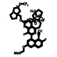 C#Cc1c(F)ccc2cc(OCOC)cc(-c3nc4c5c(nc(OCC67CCCN6C[C@@H](OC(F)(F)F)C7)nc5c3F)N3C[C@H]5CC[C@@H]([C@H]3CC4)N5C(=O)OC(C)(C)C)c12